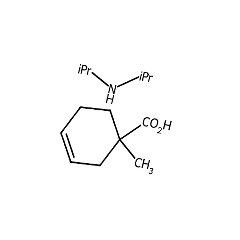 CC(C)NC(C)C.CC1(C(=O)O)CC=CCC1